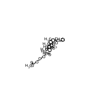 COC(=O)CCOCCOCCOCCNC(=O)[C@H]1CC[C@]2(C)[C@H]3C(=O)C=C4[C@@H]5C[C@@](C)(C(=O)OCc6ccccc6)CC[C@]5(C)CC[C@@]4(C)[C@]3(C)CC[C@H]2C1(C)C